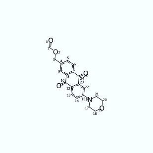 O=COCc1ccc2c(c1)C(=O)c1ccc(N3CCOCC3)cc1C2=O